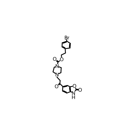 O=C(CCN1CCN(C(=O)OCCc2ccc(Br)cc2)CC1)c1ccc2[nH]c(=O)oc2c1